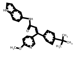 COc1ccc(/C(=C\C(=O)Nc2ccc3[nH]ccc3c2)c2ccc(C(C)(C)C)cc2)cn1